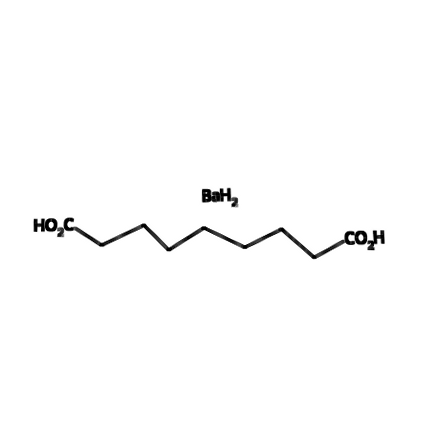 O=C(O)CCCCCCCC(=O)O.[BaH2]